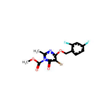 COC(=O)n1c(C)nc(OCc2ccc(F)cc2F)c(Br)c1=O